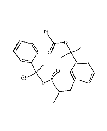 CCC(=O)OC(C)(C)c1cccc(CC(C)C(=O)OC(C)(CC)c2ccccc2)c1